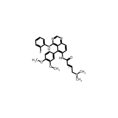 COc1ccc(-c2c(NC(=O)/C=C/CN(C)C)ccc3ncnc(Nc4ccccc4F)c23)cc1OC